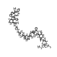 CC1(C)CCN(Cc2cc(F)c(N3CC(=O)NC4(CCN(c5cc(N6CCN(CCOCCNc7cccc8c7C(=O)N(C7CCC(=O)NC7=O)C8=O)CC6)ncn5)CC4)C3)cc2F)CC1